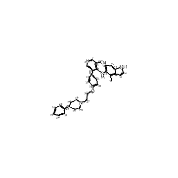 Cc1c(Nc2c(C#N)cncc2-c2ccc(OCCN3CCC(c4ccccc4)CC3)cc2)ccc2[nH]ccc12